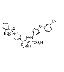 O=C(O)c1c2c(nn1-c1ccc(Oc3cccc(C4CC4)c3)cc1)[C@H](N1CCN(S(=O)(=O)c3ccccc3[N+](=O)[O-])CC1)CCN2